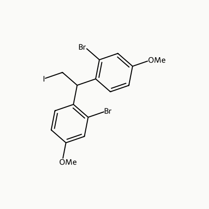 COc1ccc(C(CI)c2ccc(OC)cc2Br)c(Br)c1